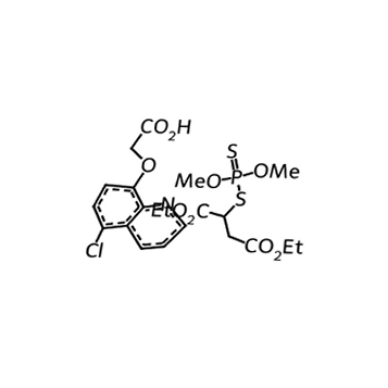 CCOC(=O)CC(SP(=S)(OC)OC)C(=O)OCC.O=C(O)COc1ccc(Cl)c2cccnc12